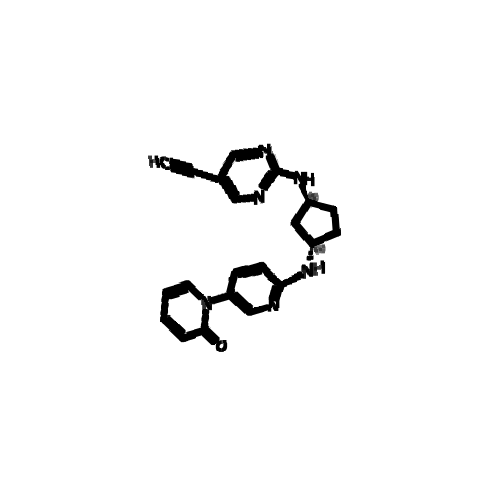 C#Cc1cnc(N[C@H]2CC[C@H](Nc3ccc(-n4ccccc4=O)cn3)C2)nc1